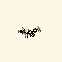 CS(=O)(=O)c1ccc(-c2ccc(Nc3n[nH]c(N)n3)cc2S(F)(F)(F)(F)F)cc1